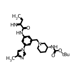 C=CC(=N)C(=O)Nc1cc(CN2CCC[C@H](NC(=O)OC(C)(C)C)C2)cc(-n2cnc(C)c2)c1